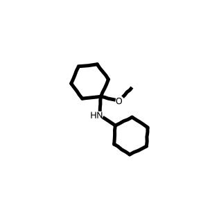 COC1(NC2CCCCC2)CCCCC1